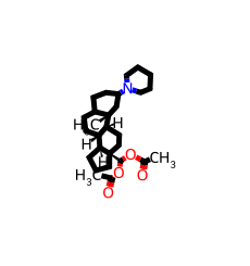 CC(=O)OC(OC(C)=O)[C@@]12CCC[C@H]1[C@@H]1CCC3CCC(N4CCCCC4)C[C@]3(C)[C@H]1CC2